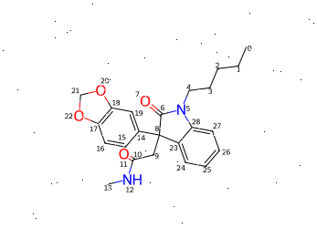 CCCCCN1C(=O)C(CC(=O)NC)(c2ccc3c(c2)OCO3)c2ccccc21